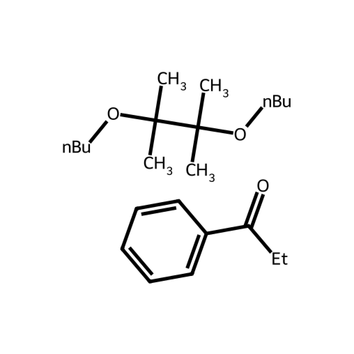 CCC(=O)c1ccccc1.CCCCOC(C)(C)C(C)(C)OCCCC